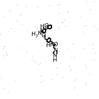 Nc1nnc(-c2ccccc2O)cc1OCCc1ccc(CNC(=O)CCN2CCNCC2)cc1